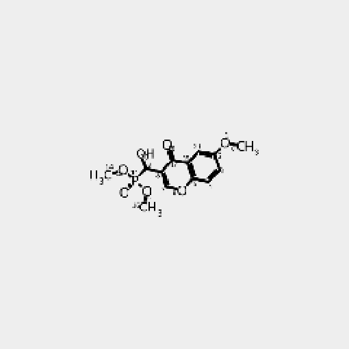 COc1ccc2occ(C(O)P(=O)(OC)OC)c(=O)c2c1